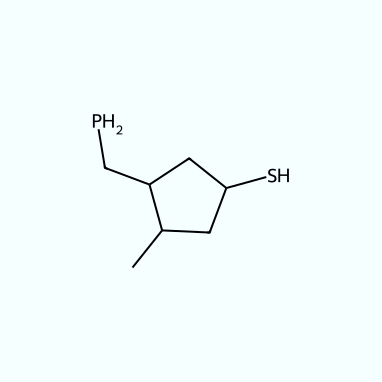 CC1CC(S)CC1CP